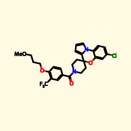 COCCCOc1ccc(C(=O)N2CCC3(CC2)Oc2cc(Cl)ccc2-n2cccc23)cc1C(F)(F)F